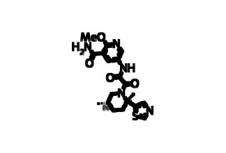 COc1ncc(NC(=O)C(=O)N2C[C@@H](C)CC[C@@]2(C)c2cncs2)cc1C(N)=O